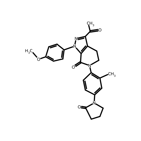 COc1ccc(-n2nc(C(C)=O)c3c2C(=O)N(c2ccc(N4CCCC4=O)cc2C)CC3)cc1